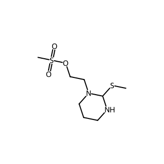 CSC1NCCCN1CCOS(C)(=O)=O